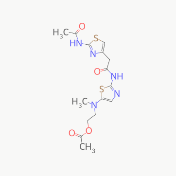 CC(=O)Nc1nc(CC(=O)Nc2ncc(N(C)CCOC(C)=O)s2)cs1